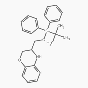 CC(C)(C)[Si](OCC1COc2cccnc2N1)(c1ccccc1)c1ccccc1